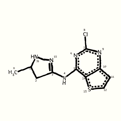 CC1CC(Nc2nc(Cl)nc3ccsc23)=NN1